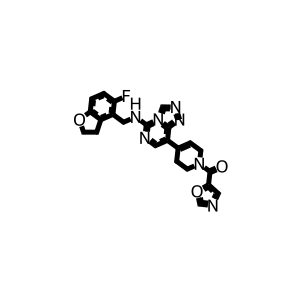 O=C(c1cnco1)N1CC=C(c2cnc(NCc3c(F)ccc4c3CCO4)n3cnnc23)CC1